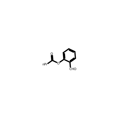 CCCC(=O)Oc1ccccc1C=O